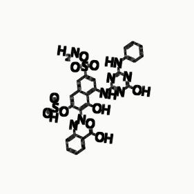 NOS(=O)(=O)c1cc(Nc2nc(O)nc(Nc3ccccc3)n2)c2c(O)c(N=Nc3ccccc3C(=O)O)c(O[SH](=O)=O)cc2c1